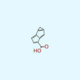 O=C(O)C1=CC=C2C1=CC1=C2C1